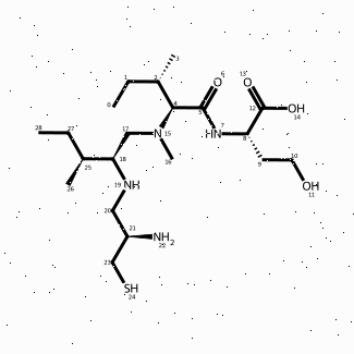 CC[C@H](C)[C@@H](C(=O)N[C@@H](CCO)C(=O)O)N(C)C[C@@H](NC[C@@H](N)CS)[C@@H](C)CC